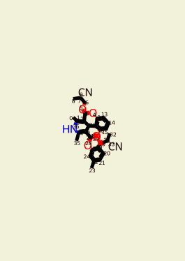 CC1=C(C(=O)OCC(C)C#N)C(c2ccccc2OCc2ccc(C)cc2)C(C(=O)OCC(C)C#N)=C(C)N1